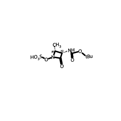 C[C@@H]1[C@H](NC(=O)OC(C)(C)C)C(=O)N1OS(=O)(=O)O